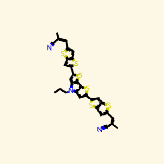 CCCn1c2cc(-c3cc4sc(/C=C(/C)C#N)cc4s3)sc2c2sc(-c3cc4sc(/C=C(/C)C#N)cc4s3)cc21